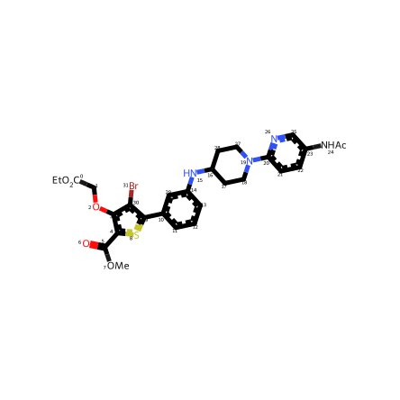 CCOC(=O)COc1c(C(=O)OC)sc(-c2cccc(NC3CCN(c4ccc(NC(C)=O)cn4)CC3)c2)c1Br